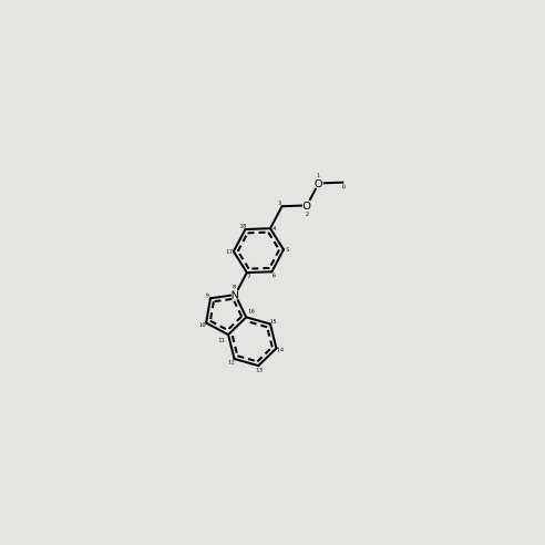 COOCc1ccc(-n2ccc3ccccc32)cc1